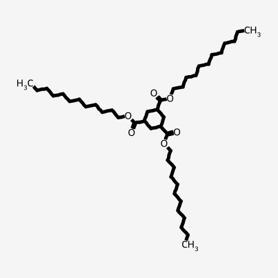 CCCCCCCCCCCCOC(=O)C1CC(C(=O)OCCCCCCCCCCCC)CC(C(=O)OCCCCCCCCCCCC)C1